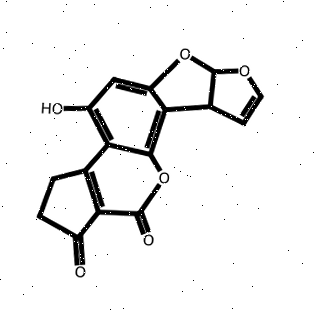 O=C1CCc2c1c(=O)oc1c3c(cc(O)c21)OC1OC=CC31